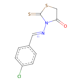 O=C1CSC(=S)N1/N=C/c1ccc(Cl)cc1